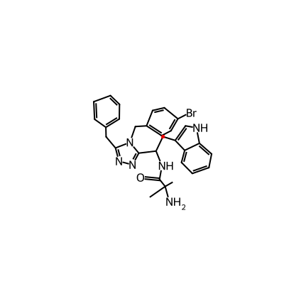 CC(C)(N)C(=O)NC(Cc1c[nH]c2ccccc12)c1nnc(Cc2ccccc2)n1Cc1ccc(Br)cc1